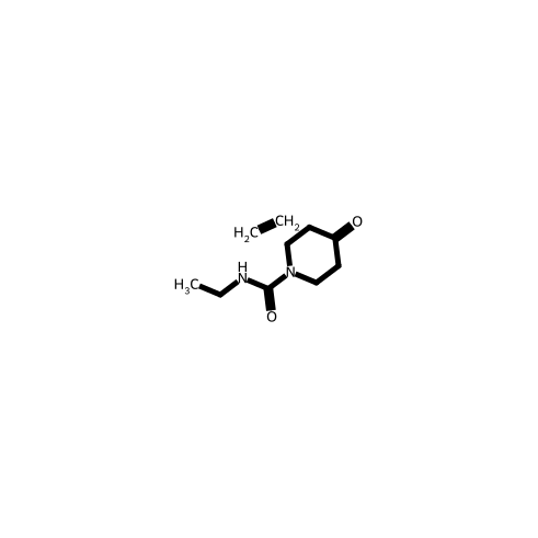 C=C.CCNC(=O)N1CCC(=O)CC1